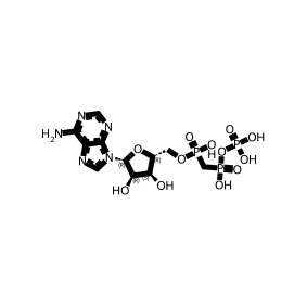 Nc1ncnc2c1ncn2[C@@H]1O[C@H](COP(=O)(O)CP(=O)(O)OP(=O)(O)O)[C@@H](O)[C@H]1O